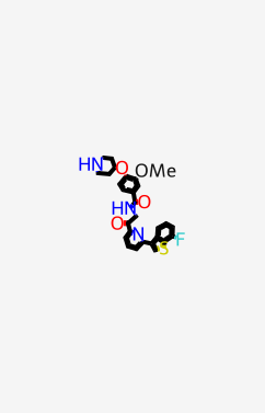 COc1cc(C(=O)NCC(=O)c2cccc(-c3csc4c(F)cccc34)n2)ccc1OC1CCNCC1